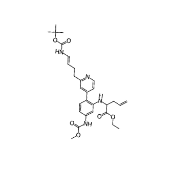 C=CCC(Nc1cc(NC(=O)OC)ccc1-c1ccnc(CCC=CNC(=O)OC(C)(C)C)c1)C(=O)OCC